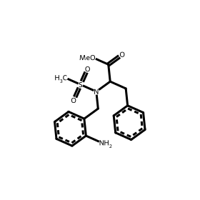 COC(=O)C(Cc1ccccc1)N(Cc1ccccc1N)S(C)(=O)=O